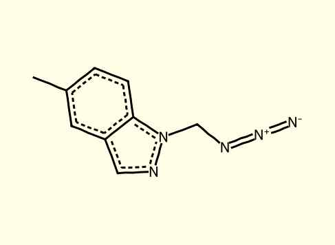 Cc1ccc2c(cnn2CN=[N+]=[N-])c1